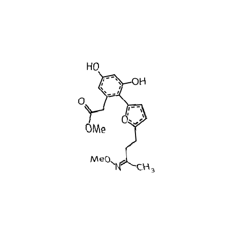 CO/N=C(/C)CCc1ccc(-c2c(O)cc(O)cc2CC(=O)OC)o1